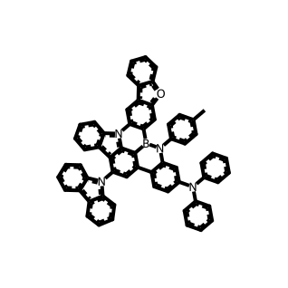 Cc1ccc(N2B3c4cc5oc6ccccc6c5cc4-n4c5ccccc5c5c(-n6c7ccccc7c7ccccc76)cc(c3c54)-c3ccc(N(c4ccccc4)c4ccccc4)cc32)cc1